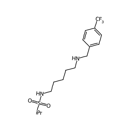 CC(C)S(=O)(=O)NCCCCCNCc1ccc(C(F)(F)F)cc1